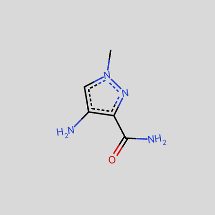 Cn1cc(N)c(C(N)=O)n1